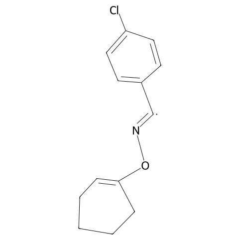 Clc1ccc([C]=NOC2=CCCCC2)cc1